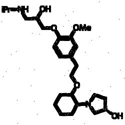 COc1cc(CCOC2CCCCC2N2CC[C@@H](O)C2)ccc1OCC(O)CNC(C)C